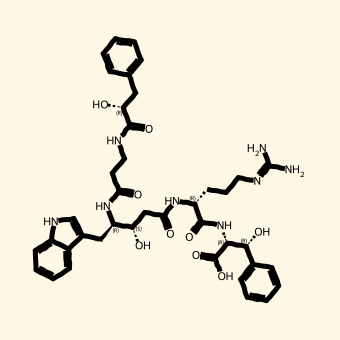 NC(N)=NCCC[C@@H](NC(=O)C[C@H](O)[C@@H](Cc1c[nH]c2ccccc12)NC(=O)CCNC(=O)[C@H](O)Cc1ccccc1)C(=O)N[C@@H](C(=O)O)[C@H](O)c1ccccc1